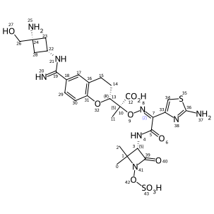 CC1(C)[C@H](NC(=O)/C(=N\O[C@](C)(C(=O)O)[C@H]2CCc3cc(C(=N)N[C@H]4C[C@](N)(CO)C4)ccc3O2)c2csc(N)n2)C(=O)N1OS(=O)(=O)O